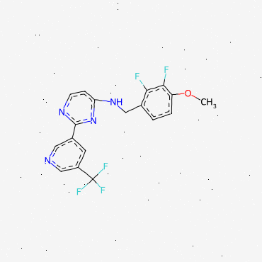 COc1ccc(CNc2ccnc(-c3cncc(C(F)(F)F)c3)n2)c(F)c1F